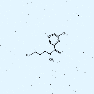 CSCCN(C)C(=O)c1cncc(C)n1